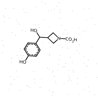 O=C(O)N1CC(C(O)c2ccc(O)cc2)C1